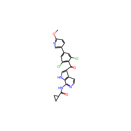 COc1ccc(-c2cc(Cl)c(C(=O)c3c[nH]c4c(NC(=O)C5CC5)nccc34)c(Cl)c2)cn1